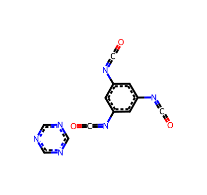 O=C=Nc1cc(N=C=O)cc(N=C=O)c1.c1ncncn1